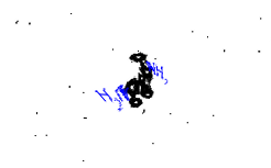 CC(c1ccccc1)(c1ccc(N)c(-c2ccccc2)c1)c1ccc(N)c(-c2ccccc2)c1